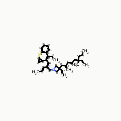 C=CC(C)(CCC)CCCC(=C)CC1(C=C)CN(CC(/C=C/C)=C/C2=C(CC)c3ccccc3SC3CC23)C1